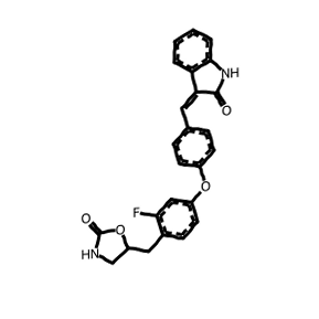 O=C1NCC(Cc2ccc(Oc3ccc(C=C4C(=O)Nc5ccccc54)cc3)cc2F)O1